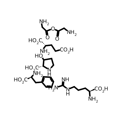 N=C(N)NCCC[C@H](N)C(=O)O.NCC(=O)OC(=O)CN.N[C@@H](CCC(=O)O)C(=O)O.N[C@@H](Cc1ccccc1)C(=O)O.O=C(O)[C@H]1NCCC1O